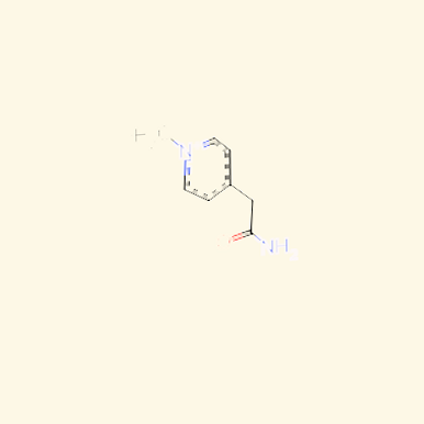 [CH2][n+]1ccc(CC(N)=O)cc1